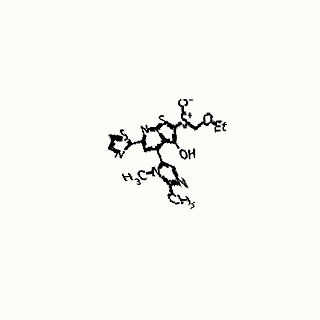 CCOC[S+]([O-])c1sc2nc(-c3nccs3)cc(-c3cnc(C)n3C)c2c1O